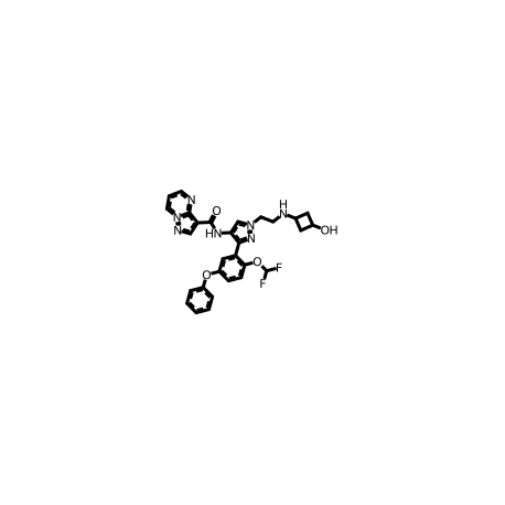 O=C(Nc1cn(CCNC2CC(O)C2)nc1-c1cc(Oc2ccccc2)ccc1OC(F)F)c1cnn2cccnc12